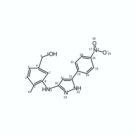 Cc1ccc(CO)cc1Nc1cc(-c2ccc([N+](=O)[O-])cc2)[nH]n1